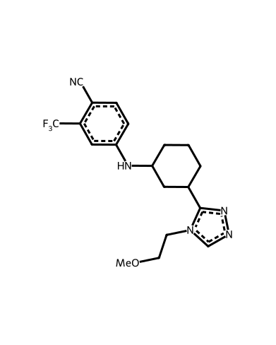 COCCn1cnnc1C1CCCC(Nc2ccc(C#N)c(C(F)(F)F)c2)C1